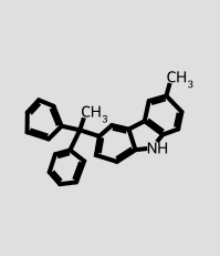 Cc1ccc2[nH]c3ccc(C(C)(c4ccccc4)c4ccccc4)cc3c2c1